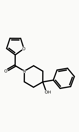 O=C(c1ccco1)N1CCC(O)(c2ccccc2)CC1